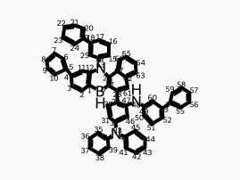 B1c2ccc(-c3ccccc3)cc2N(c2cccc(-c3ccccc3)c2)c2c1c(-c1ccc(N(c3ccccc3)c3ccccc3)cc1Nc1cccc(-c3ccccc3)c1)cc1ccccc21